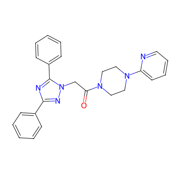 O=C(Cn1nc(-c2ccccc2)nc1-c1ccccc1)N1CCN(c2ccccn2)CC1